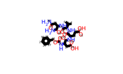 CC(C)C(NC(=O)C(CCC(=O)O)NC(=O)C(CC(=O)O)NC(=O)OCc1ccccc1)C(=O)NC(CC(N)=O)C(N)=O